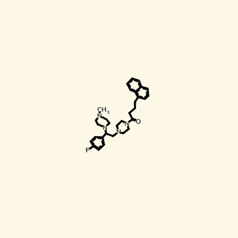 CN1CCN(C(CN2CCN(C(=O)CCCc3cccc4ccccc34)CC2)c2ccc(F)cc2)CC1